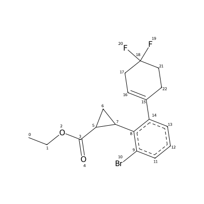 CCOC(=O)C1CC1c1c(Br)cccc1C1=CCC(F)(F)CC1